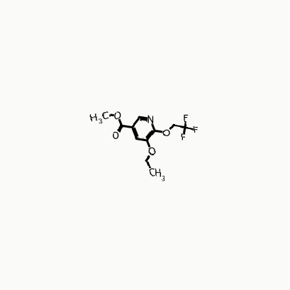 CCOc1cc(C(=O)OC)cnc1OCC(F)(F)F